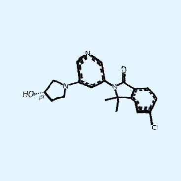 CC1(C)c2cc(Cl)ccc2C(=O)N1c1cncc(N2CC[C@H](O)C2)c1